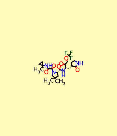 CC1(C)C[C@@H](C(=O)N[C@@H](C[C@@H]2CCNC2=O)C(=O)COC(F)(F)F)N(C(=O)C(=O)NC2(C)CC2)C1